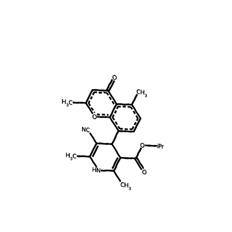 CC1=C(C#N)C(c2ccc(C)c3c(=O)cc(C)oc23)C(C(=O)OC(C)C)=C(C)N1